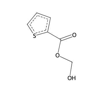 O=C(OCO)c1cccs1